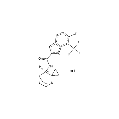 Cl.O=C(N[C@@H]1C2CCN(CC2)C12CC2)c1cc2ccc(F)c(C(F)(F)F)c2s1